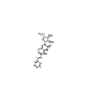 C[C@H]1O[C@@H](n2cc(F)c(NC(=O)/C=C/c3ccccc3)nc2=O)[C@H](O)[C@@H]1O